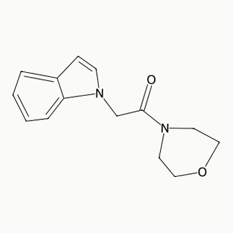 O=C(Cn1ccc2ccccc21)N1CCOCC1